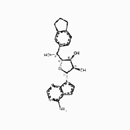 Nc1ncnc2c1ccn2[C@@H]1O[C@H]([C@H](O)c2ccc3c(c2)CCC3)[C@@H](O)[C@H]1O